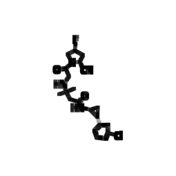 CC(C)(CC(=O)N[C@H]1C[C@@H]1c1cccc(Cl)c1)NCC(=O)N1C[C@@H](F)C[C@H]1C#N